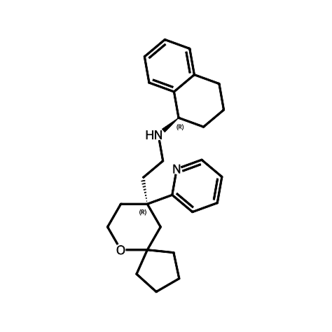 c1ccc([C@]2(CCN[C@@H]3CCCc4ccccc43)CCOC3(CCCC3)C2)nc1